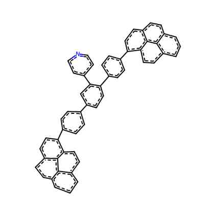 c1cc2ccc3ccc(-c4ccc(-c5ccc(-c6ccc(-c7ccc8ccc9cccc%10ccc7c8c9%10)cc6)c(-c6ccncc6)c5)cc4)c4ccc(c1)c2c34